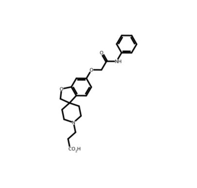 O=C(O)CCN1CCC2(CC1)COc1cc(OCC(=O)Nc3ccccc3)ccc12